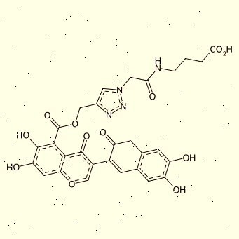 O=C(O)CCCNC(=O)Cn1cc(COC(=O)c2c(O)c(O)cc3occ(C4=Cc5cc(O)c(O)cc5CC4=O)c(=O)c23)nn1